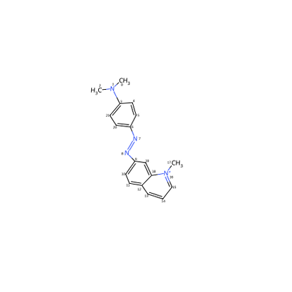 CN(C)c1ccc(N=Nc2ccc3ccc[n+](C)c3c2)cc1